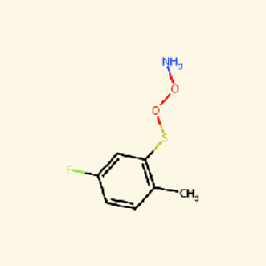 Cc1ccc(F)cc1SOON